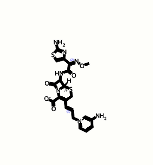 CO/N=C(\C(=O)NC1C(=O)N2C(C(=O)[O-])=C(/C=C/C[n+]3cccc(N)c3)CS[C@@H]12)c1csc(N)n1